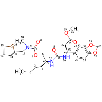 CCCC[C@@H](COC(=O)N(C)Cc1cccs1)NC(=O)N[C@@H](CC(=O)OC)c1ccc2c(c1)OCO2